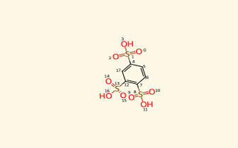 O=S(=O)(O)c1c[c]c(S(=O)(=O)O)c(S(=O)(=O)O)c1